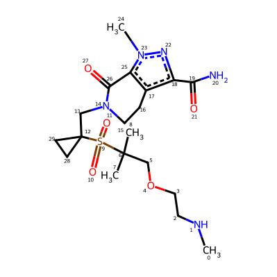 CNCCOCC(C)(C)S(=O)(=O)C1(CN2CCc3c(C(N)=O)nn(C)c3C2=O)CC1